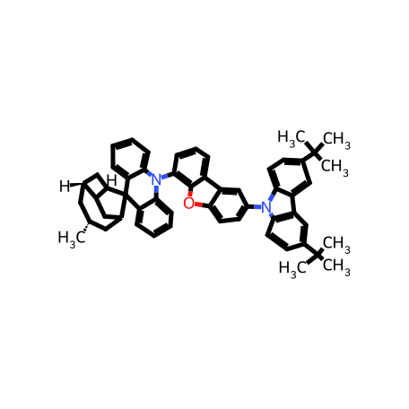 C[C@H]1CC2CC3[C@H](C1)C[C@H]3C21c2ccccc2N(c2cccc3c2oc2ccc(-n4c5ccc(C(C)(C)C)cc5c5cc(C(C)(C)C)ccc54)cc23)c2ccccc21